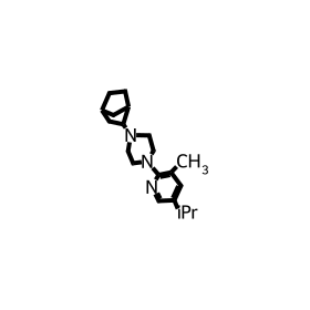 Cc1cc(C(C)C)cnc1N1CCN(C2CC3CCC2C3)CC1